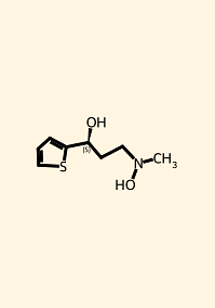 CN(O)CC[C@H](O)c1cccs1